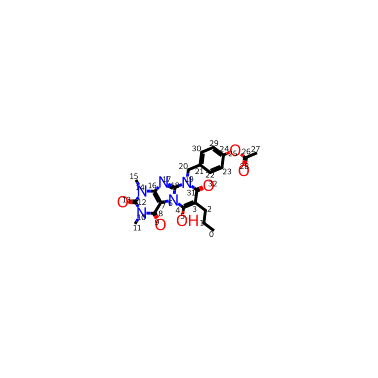 CCCc1c(O)n2c3c(=O)n(C)c(=O)n(C)c3nc2n(Cc2ccc(OC(C)=O)cc2)c1=O